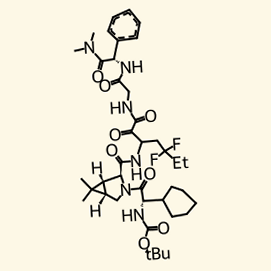 CCC(F)(F)CC(NC(=O)[C@@H]1[C@@H]2[C@H](CN1C(=O)[C@@H](NC(=O)OC(C)(C)C)C1CCCCC1)C2(C)C)C(=O)C(=O)NCC(=O)N[C@H](C(=O)N(C)C)c1ccccc1